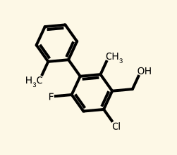 Cc1ccccc1-c1c(F)cc(Cl)c(CO)c1C